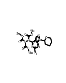 CC(C)(C)OC(=O)N(C(=O)OC(C)(C)C)N(C(=O)OC(C)(C)C)c1nc(Cl)nc2c1cnn2C1CCCCO1